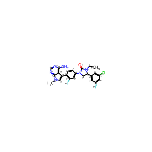 CCN1C(=O)N(c2ccc(-c3cn(C)c4ncnc(N)c34)c(F)c2)CC1c1cc(F)cc(Cl)c1